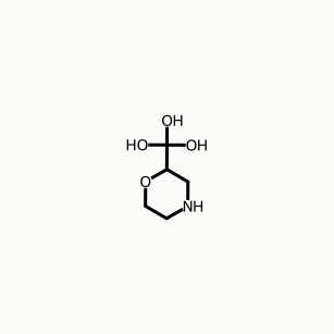 OC(O)(O)C1CNCCO1